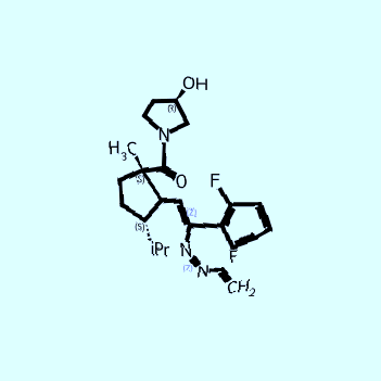 C=C/N=N\C(=C/C1[C@H](C(C)C)CC[C@]1(C)C(=O)N1CC[C@@H](O)C1)c1c(F)cccc1F